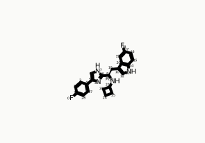 Fc1ccc(-c2c[nH]c([C@@H](Cc3c[nH]c4ccc(F)cc34)NC3CCC3)n2)cc1